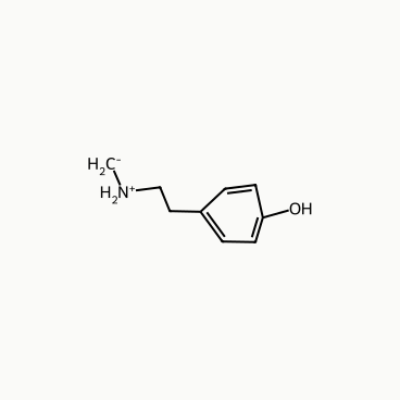 [CH2-][NH2+]CCc1ccc(O)cc1